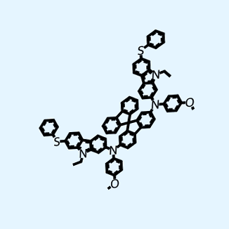 CCn1c2cc(Sc3ccccc3)ccc2c2ccc(N(c3ccc(OC)cc3)c3ccc4c(c3)C3(c5ccccc5-c5ccccc53)c3cc(N(c5ccc(OC)cc5)c5ccc6c7ccc(Sc8ccccc8)cc7n(CC)c6c5)ccc3-4)cc21